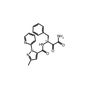 Cc1cc(C(=O)N[C@@H](Cc2ccccc2)C(=O)C(N)=O)n(-c2ccccn2)n1